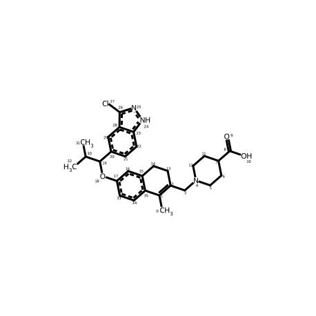 CC1=C(CN2CCC(C(=O)O)CC2)CCc2cc(OC(c3ccc4[nH]nc(Cl)c4c3)C(C)C)ccc21